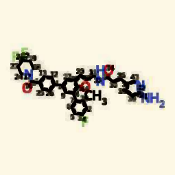 Cc1cc(F)ccc1-c1cc(-c2ccc(C(=O)N3CCC(F)(F)CC3)cc2)cc2cc(CNC(=O)/C=C/c3ccc(N)nc3)oc12